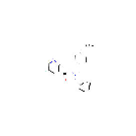 COC1CCC(CN(Cc2ccccc2)C[C@H](O)c2cncc(F)c2)CC1